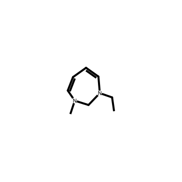 CCN1C=CC=CN(C)C1